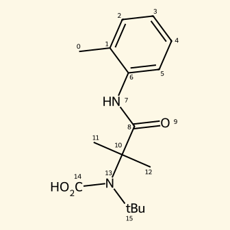 Cc1ccccc1NC(=O)C(C)(C)N(C(=O)O)C(C)(C)C